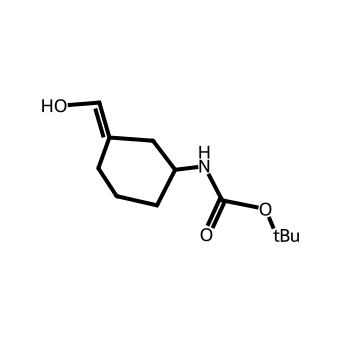 CC(C)(C)OC(=O)NC1CCC/C(=C\O)C1